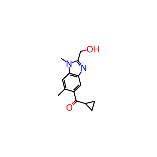 Cc1cc2c(cc1C(=O)C1CC1)nc(CO)n2C